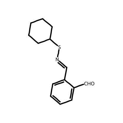 O=Cc1ccccc1C=NSC1CCCCC1